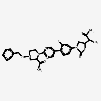 CC(=O)C1CN(OCc2ccccc2)CCN1c1ncc(-c2ccc(N3CC(C(C)C(N)=O)OC3=O)cc2F)cn1